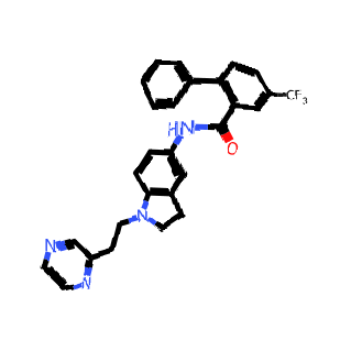 O=C(Nc1ccc2c(c1)CCN2CCc1cnccn1)c1cc(C(F)(F)F)ccc1-c1ccccc1